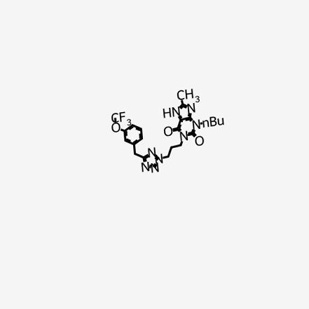 CCCCn1c(=O)n(CCCn2nnc(Cc3cccc(OC(F)(F)F)c3)n2)c(=O)c2[nH]c(C)nc21